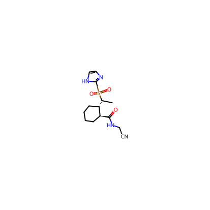 CC([C@H]1CCCC[C@@H]1C(=O)NCC#N)S(=O)(=O)c1ncc[nH]1